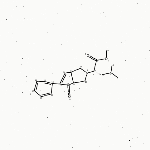 COC(=O)[C@H](CC(C)C)N1CC2C=C(c3ccccc3)C(=O)C2C1